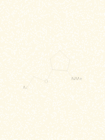 CNC1CCCC1OCC(C)=O